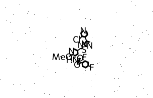 COc1ncc(-c2nn3c(-c4ccncc4Cl)cnc3s2)cc1NS(=O)(=O)c1ccc(F)cc1F